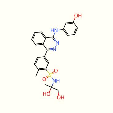 Cc1ccc(-c2nnc(Nc3cccc(O)c3)c3ccccc23)cc1S(=O)(=O)NC(C)(O)CO